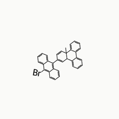 CC12C=CC(c3c4ccccc4c(Br)c4ccccc34)=CC1c1ccccc1-c1ccccc12